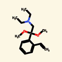 C=Cc1ccccc1[Si](CN(CC)CC)(OC)OC